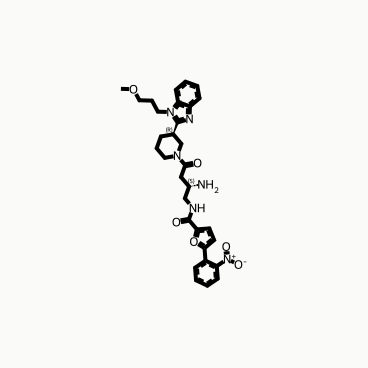 COCCCn1c([C@@H]2CCCN(C(=O)C[C@H](N)CNC(=O)c3ccc(-c4ccccc4[N+](=O)[O-])o3)C2)nc2ccccc21